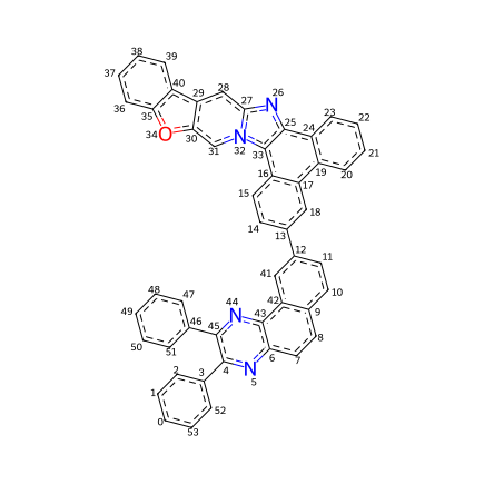 c1ccc(-c2nc3ccc4ccc(-c5ccc6c(c5)c5ccccc5c5nc7cc8c(cn7c65)oc5ccccc58)cc4c3nc2-c2ccccc2)cc1